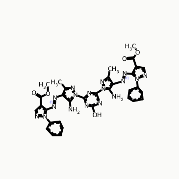 COC(=O)c1cnn(-c2ccccc2)c1/N=N/c1c(C)nn(-c2nc(O)nc(-n3nc(C)c(/N=N/c4c(C(=O)OC)cnn4-c4ccccc4)c3N)n2)c1N